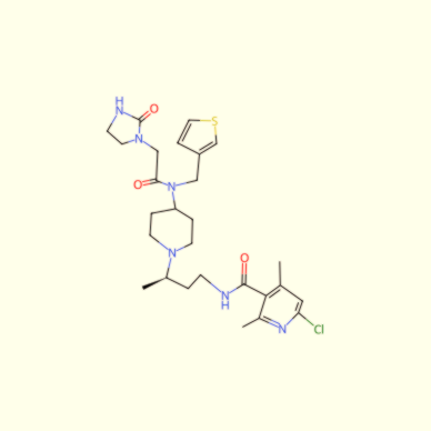 Cc1cc(Cl)nc(C)c1C(=O)NCC[C@@H](C)N1CCC(N(Cc2ccsc2)C(=O)CN2CCNC2=O)CC1